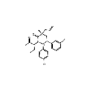 C=CC[C@]1(C)CC(c2cccc(Cl)c2)[C@@H](c2ccc(Cl)cc2)N([C@@H](CC)C(C)=O)C1=O